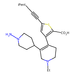 CCCC(C)C#Cc1cc(C2=C(C3CCN(N)CC3)CN(CC)CC2)c(C(=O)O)s1